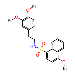 CCOc1ccc(CCNS(=O)(=O)c2ccc(OCC)c3ccccc23)cc1OCC